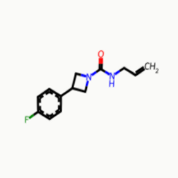 C=CCNC(=O)N1CC(c2ccc(F)cc2)C1